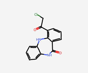 O=C(CCl)c1cccc2c1Nc1ccccc1NC2=O